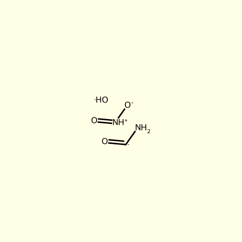 N[C]=O.O=[NH+][O-].[OH]